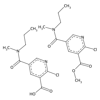 CCCN(C)C(=O)c1cnc(Cl)c(C(=O)O)c1.CCCN(C)C(=O)c1cnc(Cl)c(C(=O)OC)c1